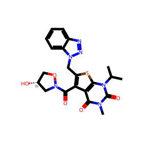 CC(C)n1c(=O)n(C)c(=O)c2c(C(=O)N3C[C@H](O)CO3)c(Cn3nnc4ccccc43)sc21